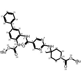 CC1(Nc2ncc(C(=O)Nc3cc(-c4ccccc4)ccc3NC(=O)OC(C)(C)C)cn2)CCN(C(=O)OC(C)(C)C)CC1